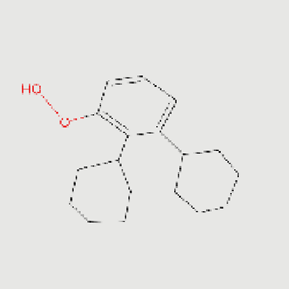 OOc1cccc(C2CCCCC2)c1C1CCCCC1